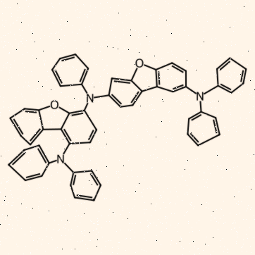 c1ccc(N(c2ccccc2)c2ccc3oc4cc(N(c5ccccc5)c5ccc(N(c6ccccc6)c6ccccc6)c6c5oc5ccccc56)ccc4c3c2)cc1